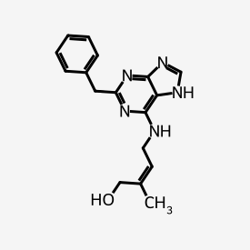 CC(=CCNc1nc(Cc2ccccc2)nc2nc[nH]c12)CO